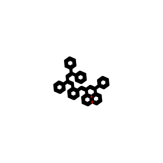 C(=C(C=C(c1ccccc1)c1ccccc1)c1ccccc1)c1ccccc1C=C(C=C(c1ccccc1)c1ccccc1)c1ccccc1